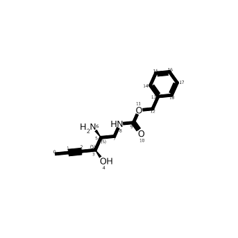 CC#C[C@H](O)[C@@H](N)CNC(=O)OCc1ccccc1